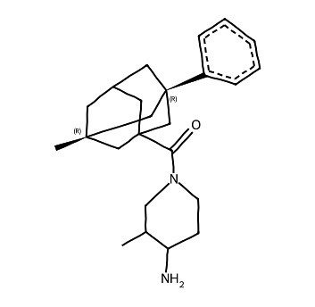 CC1CN(C(=O)C23CC4C[C@@](C)(C2)C[C@](c2ccccc2)(C4)C3)CCC1N